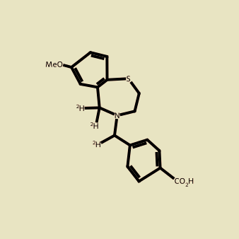 [2H]C(c1ccc(C(=O)O)cc1)N1CCSc2ccc(OC)cc2C1([2H])[2H]